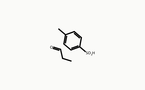 CCC=O.Cc1ccc(S(=O)(=O)O)cc1